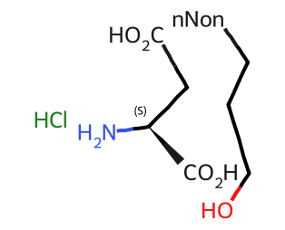 CCCCCCCCCCCCO.Cl.N[C@@H](CC(=O)O)C(=O)O